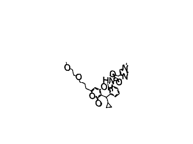 COCCOCCCc1cc(O)c(C(c2cccc(NS(=O)(=O)c3cn(C)cn3)c2)C2CC2)c(=O)o1